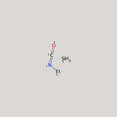 CCN=C=O.[SiH4]